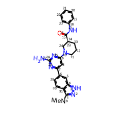 CNc1n[nH]c2cc(-c3cc(N4CCC[C@H](C(=O)Nc5ccccc5)C4)nc(N)n3)ccc12